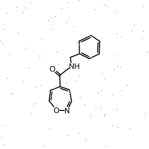 O=C(NCc1ccccc1)C1=CC=NOC=C1